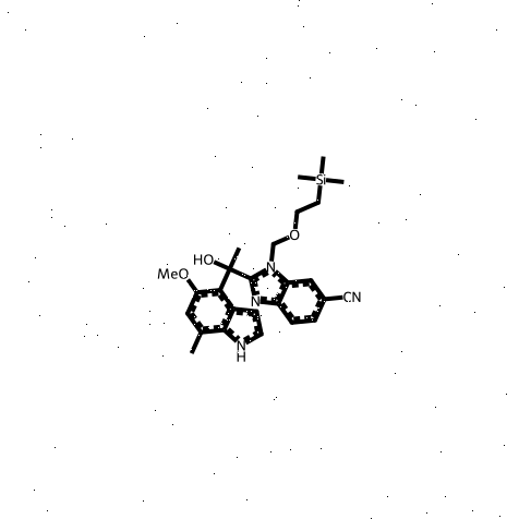 COc1cc(C)c2[nH]ccc2c1C(C)(O)c1nc2ccc(C#N)cc2n1COCC[Si](C)(C)C